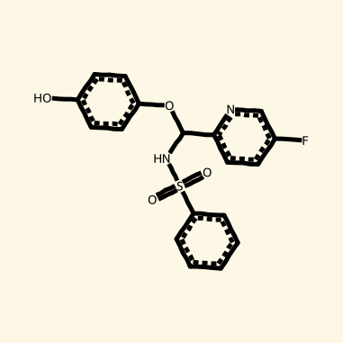 O=S(=O)(NC(Oc1ccc(O)cc1)c1ccc(F)cn1)c1ccccc1